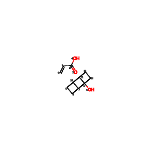 C=CC(=O)O.OC12C3C4C5C3C1C5C42